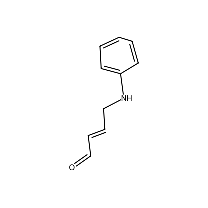 O=CC=CCNc1ccccc1